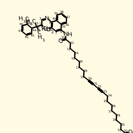 C=C(/C=N\c1c(O)cc(NC(=O)CCCCCCCCC#CC#CCCCCCCCCC(=O)O)c2ccccc12)C(C)(C)C1C=CC=CC1C